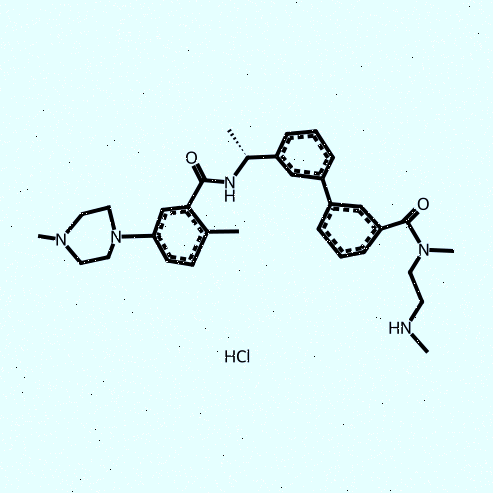 CNCCN(C)C(=O)c1cccc(-c2cccc([C@@H](C)NC(=O)c3cc(N4CCN(C)CC4)ccc3C)c2)c1.Cl